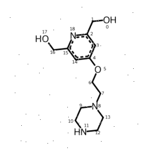 OCc1cc(OCCN2CCNCC2)cc(CO)n1